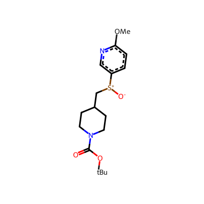 COc1ccc([S+]([O-])CC2CCN(C(=O)OC(C)(C)C)CC2)cn1